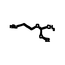 CCCCCCOC(C)OCC